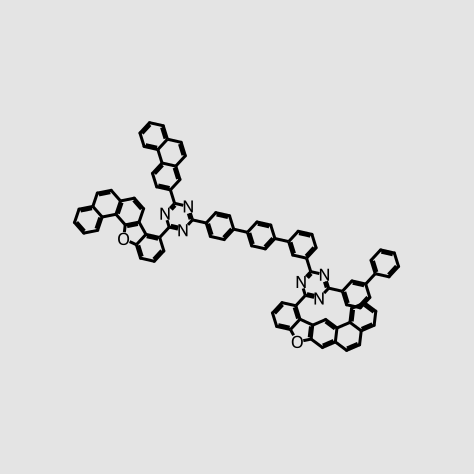 c1ccc(-c2cccc(-c3nc(-c4cccc(-c5ccc(-c6ccc(-c7nc(-c8ccc9c(ccc%10ccccc%109)c8)nc(-c8cccc9oc%10c(ccc%11ccc%12ccccc%12c%11%10)c89)n7)cc6)cc5)c4)nc(-c4cccc5oc6cc7ccc8ccccc8c7cc6c45)n3)c2)cc1